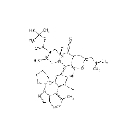 Cc1ccc2cnn(C3CCCCO3)c2c1-c1c(Cl)cc2c3c4c(nc2c1F)O[C@H](CN(C)C)CN4C(=C=O)[C@H]1CN(C(=O)OC(C)(C)C)[C@H](C)CN31